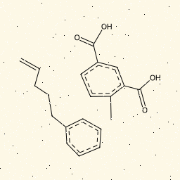 C=CCCCc1ccccc1.Cc1ccc(C(=O)O)cc1C(=O)O